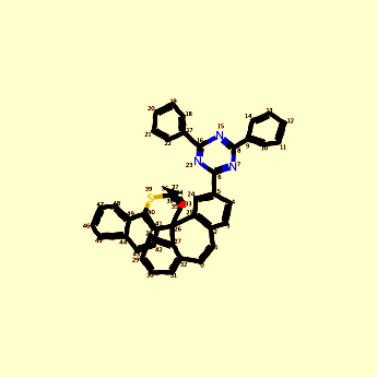 C1=Cc2ccc(-c3nc(-c4ccccc4)nc(-c4ccccc4)n3)cc2C2(c3ccccc31)c1ccccc1Sc1c2ccc2ccccc12